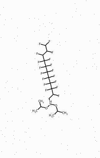 CC(C)O[SiH](CC(F)C(F)(F)C(F)(F)C(F)(F)C(F)(F)C(F)(F)C(F)(F)C(F)C(F)C(F)F)OC(C)C